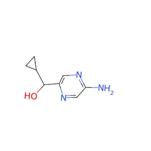 Nc1cnc(C(O)C2CC2)cn1